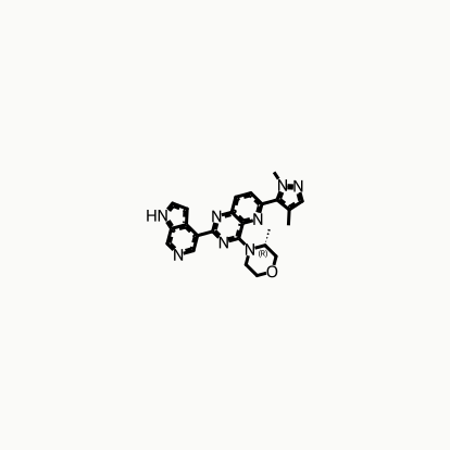 Cc1cnn(C)c1-c1ccc2nc(-c3cncc4[nH]ccc34)nc(N3CCOC[C@H]3C)c2n1